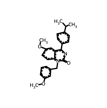 COc1cccc(Cn2c(=O)nc(-c3ccc(C(C)C)cc3)c3cc(OC)ccc32)c1